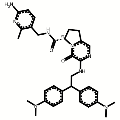 Cc1nc(N)ccc1CNC(=O)[C@@H]1CCc2cnc(NCC(c3ccc(N(C)C)cc3)c3ccc(N(C)C)cc3)c(=O)n21